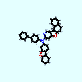 c1ccc(-c2ccc(N(c3ccc4c(c3)oc3ccccc34)c3cc4oc5ccc6ccccc6c5c4cn3)cc2)cc1